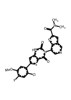 COc1cc(-c2cc3[nH]c(=O)n(-c4cncc5cc(C(=O)N(C)C)sc45)c(=O)c3s2)c(Cl)cc1F